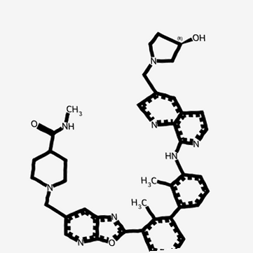 CNC(=O)C1CCN(Cc2cnc3oc(-c4cccc(-c5cccc(Nc6nccc7cc(CN8CC[C@@H](O)C8)cnc67)c5C)c4C)nc3c2)CC1